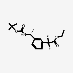 CCOC(=O)C(F)(F)c1cccc([C@@H](C)NC(=O)OC(C)(C)C)c1